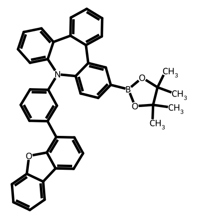 CC1(C)OB(c2ccc3c(c2)-c2ccccc2-c2ccccc2N3c2cccc(-c3cccc4c3oc3ccccc34)c2)OC1(C)C